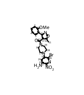 COc1ccccc1-c1noc(C)c1C(=O)N1CCN(c2cc(N)c([N+](=O)[O-])nc2Br)CC1